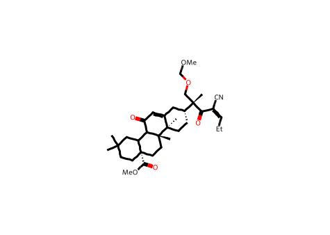 CC/C=C(/C#N)C(=O)[C@@](C)(COCOC)[C@@H]1CC[C@]2(C)C(=CC(=O)C3C4CC(C)(C)CC[C@]4(C(=O)OC)CC[C@]32C)C1